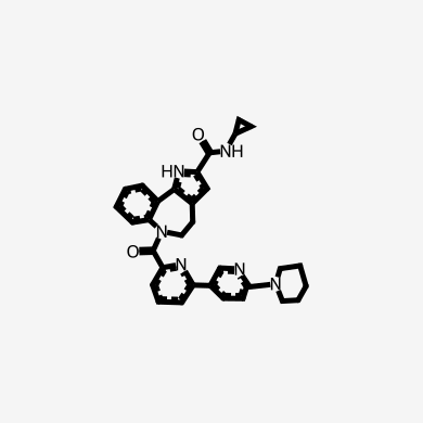 O=C(NC1CC1)c1cc2c([nH]1)-c1ccccc1N(C(=O)c1cccc(-c3ccc(N4CCCCC4)nc3)n1)CC2